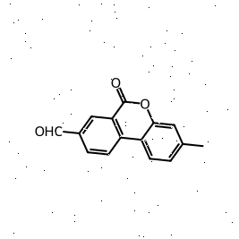 Cc1ccc2c(c1)oc(=O)c1cc(C=O)ccc12